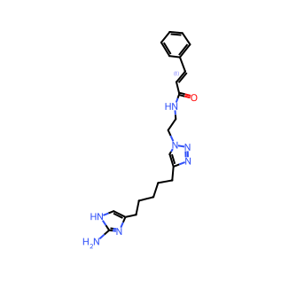 Nc1nc(CCCCCc2cn(CCNC(=O)/C=C/c3ccccc3)nn2)c[nH]1